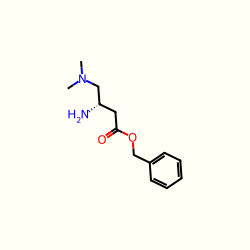 CN(C)C[C@@H](N)CC(=O)OCc1ccccc1